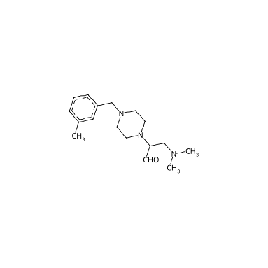 Cc1cccc(CN2CCN(C(C=O)CN(C)C)CC2)c1